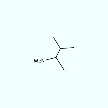 [CH2]C(NC)C(C)C